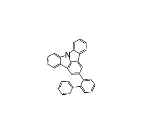 c1ccc(-c2ccccc2-c2cc3c4ccccc4n4c5ccccc5c(c2)c34)cc1